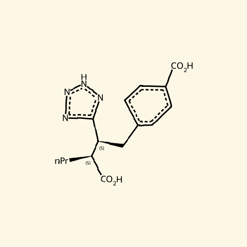 CCC[C@H](C(=O)O)[C@H](Cc1ccc(C(=O)O)cc1)c1nn[nH]n1